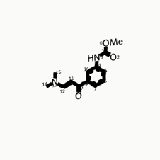 COC(=O)Nc1cccc(C(=O)C=CN(C)C)c1